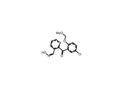 COCOc1ccc(Cl)cc1C(=O)c1ncccc1/C=N\O